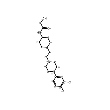 N#CCC(=O)NC1CCC(CCN2CCN(c3ccc(F)c(Cl)c3)CC2)CC1